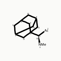 CN[C@H](C(C)=O)C12CC3CC(CC(C3)C1)C2